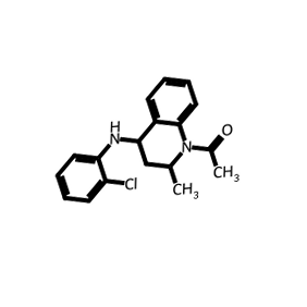 CC(=O)N1c2ccccc2C(Nc2ccccc2Cl)CC1C